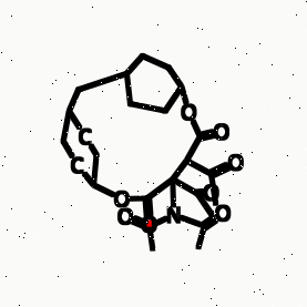 CC(=O)C1C(=O)OC2CCC(CC2)CC2CCC(CC2)OC(=O)C1(C(C)=O)N(C(C)=O)C(C)=O